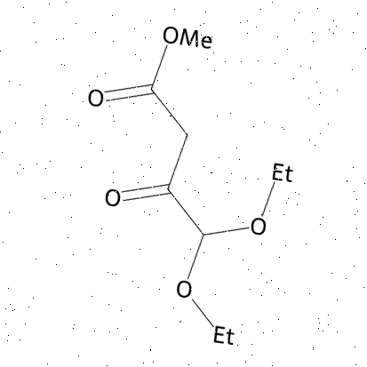 CCOC(OCC)C(=O)CC(=O)OC